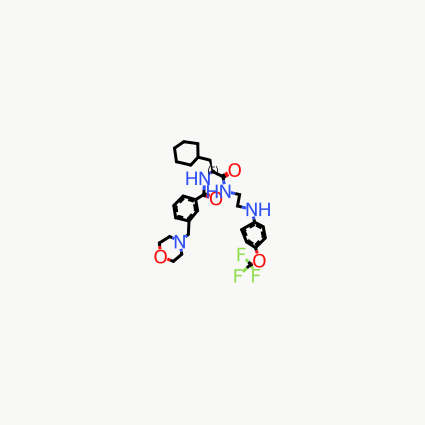 O=C(N[C@@H](CC1CCCCC1)C(=O)NCCNc1ccc(OC(F)(F)F)cc1)c1cccc(CN2CCOCC2)c1